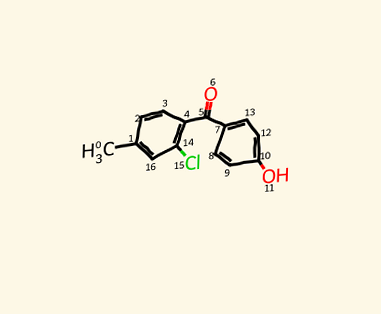 Cc1ccc(C(=O)c2ccc(O)cc2)c(Cl)c1